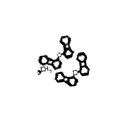 C=O.c1ccc2c(c1)-c1cccc(Oc3cccc4c3-c3ccccc3-4)c1-2.c1ccc2c(c1)-c1cccc(Oc3cccc4c3-c3ccccc3-4)c1-2